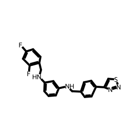 Fc1ccc(CNc2cccc(NCc3ccc(-c4csnn4)cc3)c2)c(F)c1